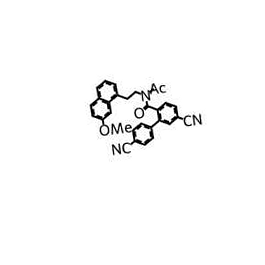 COc1ccc2cccc(CCN(C(C)=O)C(=O)c3ccc(C#N)cc3-c3ccc(C#N)cc3)c2c1